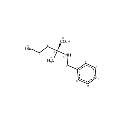 CC(C)(C)CC[C@@](C)(NCc1ccccc1)C(=O)O